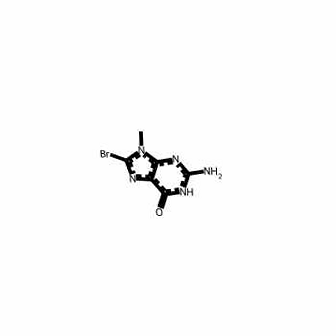 Cn1c(Br)nc2c(=O)[nH]c(N)nc21